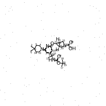 CC1(C)CCN(c2cc(C(C)(C)NC(=O)OC(C)(C)C)cc(OC3[C@H]4CN(C(=O)O)C[C@@H]34)n2)CC1